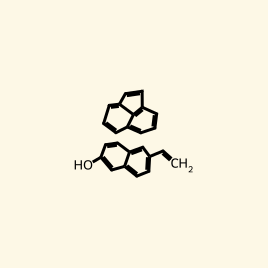 C1=Cc2cccc3cccc1c23.C=Cc1ccc2cc(O)ccc2c1